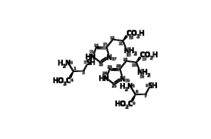 N[C@@H](CS)C(=O)O.N[C@@H](CS)C(=O)O.N[C@@H](Cc1c[nH]cn1)C(=O)O.N[C@@H](Cc1c[nH]cn1)C(=O)O